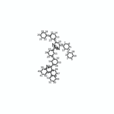 c1ccc(-c2cccc(-c3cc(-c4cccc(-c5ccccc5)c4)nc(-c4cccc(-c5cccc(-c6nc7ccccc7c7c6ccc6ccccc67)c5)c4)n3)c2)cc1